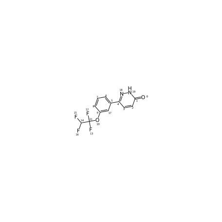 O=c1ccc(-c2cccc(OC(F)(F)C(F)F)c2)n[nH]1